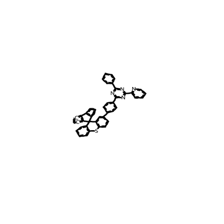 c1ccc(-c2nc(-c3ccc(-c4ccc5c(c4)C4(c6ccccc6S5)c5ccccc5-c5ccccc54)cc3)nc(-c3ccccn3)n2)cc1